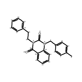 Cc1ccc(Cn2c(=O)n(CCc3ccccc3)c(=O)c3ccccc32)cc1